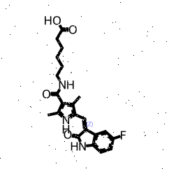 Cc1[nH]c(/C=C2\C(=O)Nc3ccc(F)cc32)c(C)c1C(=O)NCCCCCC(=O)O